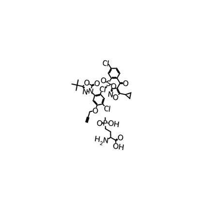 C#CCOc1cc(-n2nc(C(C)(C)C)oc2=O)c(Cl)cc1Cl.CP(=O)(O)CCC(N)C(=O)O.CS(=O)(=O)c1cc(Cl)ccc1C(=O)c1cnoc1C1CC1